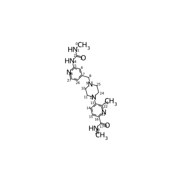 CNC(=O)Nc1cc(CN2CCN(c3ccc(C(=O)NC)nc3C)CC2)ccn1